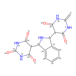 C=C1NC(=O)C(C2NC(C3C(=O)NC(=O)NC3=O)c3ccccc32)C(=O)N1